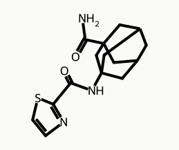 NC(=O)C12CC3CC(CC(NC(=O)c4nccs4)(C3)C1)C2